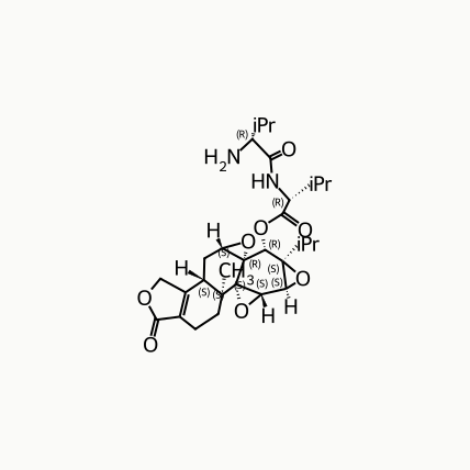 CC(C)[C@@H](N)C(=O)N[C@@H](C(=O)O[C@@H]1[C@@]2(C(C)C)O[C@H]2[C@@H]2O[C@]23[C@]12O[C@H]2C[C@H]1C2=C(CC[C@@]13C)C(=O)OC2)C(C)C